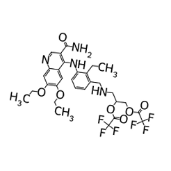 CCOc1cc2ncc(C(N)=O)c(Nc3cccc(CNCC(COC(=O)C(F)(F)F)OC(=O)C(F)(F)F)c3CC)c2cc1OCC